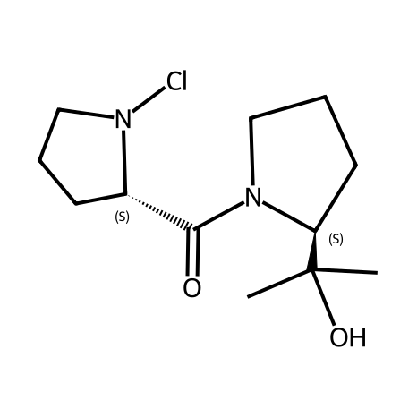 CC(C)(O)[C@@H]1CCCN1C(=O)[C@@H]1CCCN1Cl